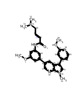 COc1cc(NC(=O)/C=C/CN(C)C)cc(-c2cnc3c(c2)c(-c2ccnc(OC)c2)cn3C)c1